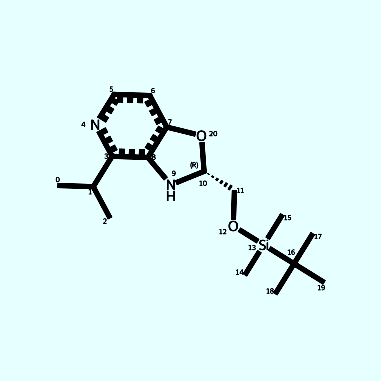 CC(C)c1nccc2c1N[C@@H](CO[Si](C)(C)C(C)(C)C)O2